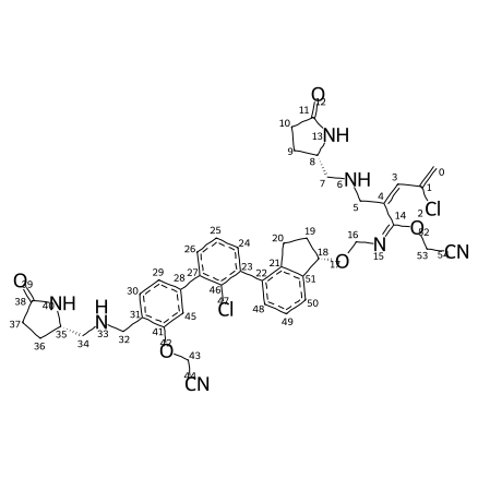 C=C(Cl)/C=C(CNC[C@@H]1CCC(=O)N1)\C(=N/CO[C@H]1CCc2c(-c3cccc(-c4ccc(CNC[C@@H]5CCC(=O)N5)c(OCC#N)c4)c3Cl)cccc21)OCC#N